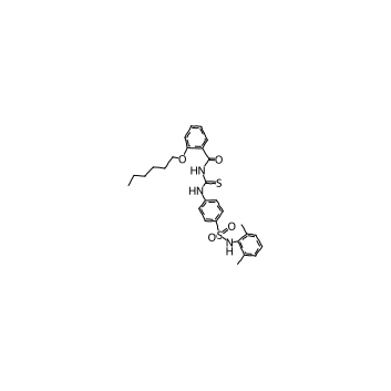 CCCCCCOc1ccccc1C(=O)NC(=S)Nc1ccc(S(=O)(=O)Nc2c(C)cccc2C)cc1